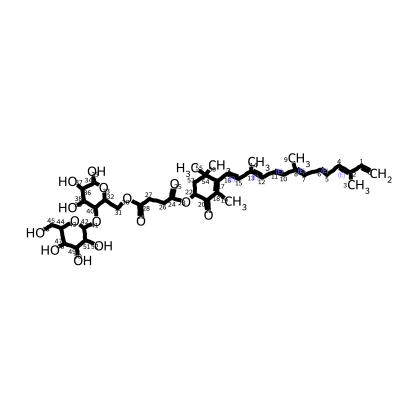 C=C/C(C)=C/C=C/C=C(C)/C=C/C=C(C)/C=C/C1=C(C)C(=O)C(OC(=O)CCC(=O)OCC2OC(O)C(O)C(O)C2OC2OC(CO)C(O)C(O)C2O)CC1(C)C